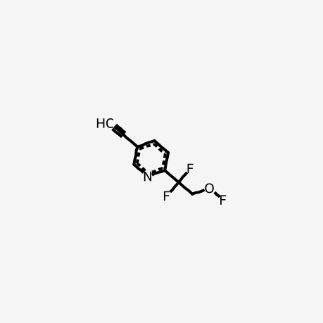 C#Cc1ccc(C(F)(F)COF)nc1